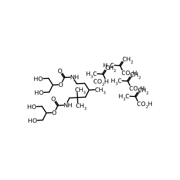 C=C(C)C(=O)O.C=C(C)C(=O)O.C=C(C)C(=O)O.C=C(C)C(=O)O.CC(CCNC(=O)OC(CO)CO)CC(C)(C)CNC(=O)OC(CO)CO